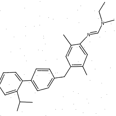 CCN(C)/C=N/c1cc(C)c(Cc2ccc(-c3ccccc3C(C)C)cc2)cc1C